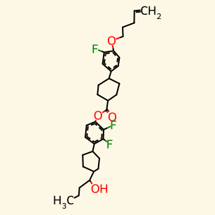 C=CCCCOc1ccc(C2CCC(C(=O)Oc3ccc(C4CCC(C(O)CCC)CC4)c(F)c3F)CC2)cc1F